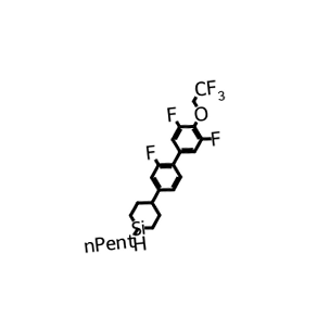 CCCCC[SiH]1CCC(c2ccc(-c3cc(F)c(OCC(F)(F)F)c(F)c3)c(F)c2)CC1